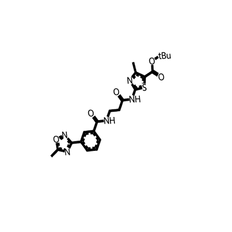 Cc1nc(-c2cccc(C(=O)NCCC(=O)Nc3nc(C)c(C(=O)OC(C)(C)C)s3)c2)no1